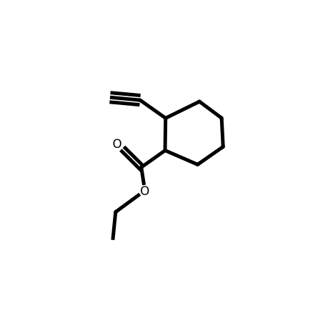 C#CC1CCCCC1C(=O)OCC